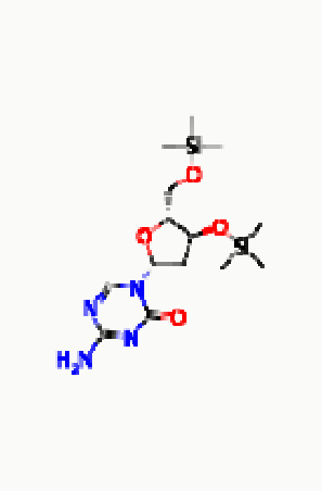 C[Si](C)(C)OC[C@H]1O[C@@H](n2cnc(N)nc2=O)C[C@@H]1O[Si](C)(C)C